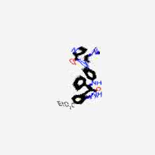 CCOC(=O)c1ccc2c(c1)NC(=O)/C2=C(\Nc1ccc(N(CCN(C)C)C(=O)c2cccnc2)cc1)c1ccccc1